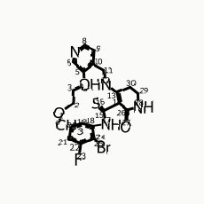 COCCOc1cnccc1CNC1=C(C(=S)Nc2cccc(F)c2Br)C(=O)NCC1